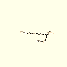 [CH2]CCCCCCCC=C(CC=CCCCCC)CCCCCCCCCCCCCCCCCCCC